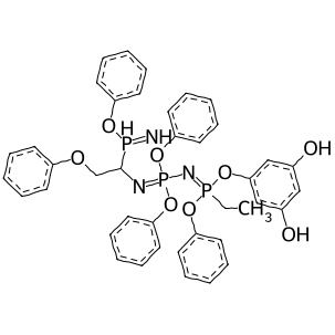 CCP(=NP(=NC(COc1ccccc1)[PH](=N)Oc1ccccc1)(Oc1ccccc1)Oc1ccccc1)(Oc1ccccc1)Oc1cc(O)cc(O)c1